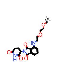 CC(=O)COCCOCCNc1cccc2c1C(=O)N(C1CCC(=O)NC1=O)C2=O